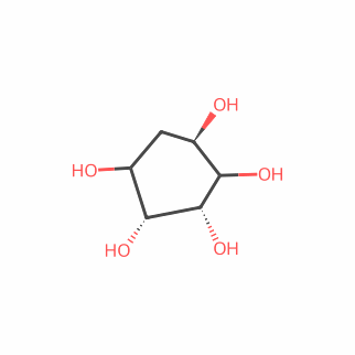 OC1C[C@@H](O)C(O)[C@H](O)[C@@H]1O